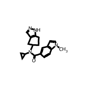 Cn1ccc2cc(C(=O)N(C3CC3)C3CCc4[nH]ncc4C3)ccc21